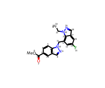 COC(=O)c1ccc2c(cnn2Cc2cc(F)cc3cnn(CC(C)C)c23)c1